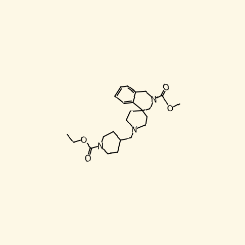 CCOC(=O)N1CCC(CN2CCC3(CC2)CN(C(=O)OC)Cc2ccccc23)CC1